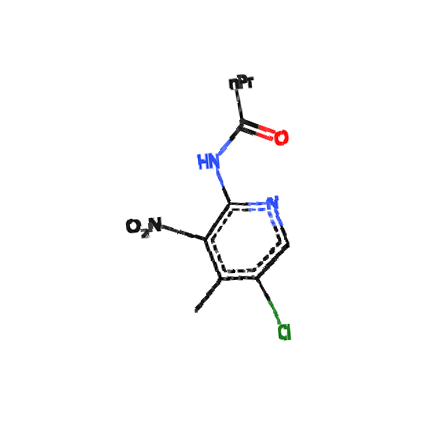 CCCC(=O)Nc1ncc(Cl)c(C)c1[N+](=O)[O-]